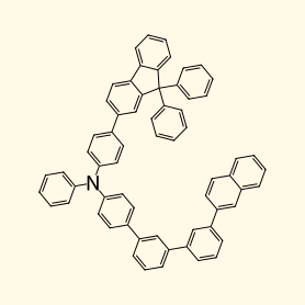 c1ccc(N(c2ccc(-c3cccc(-c4cccc(-c5ccc6ccccc6c5)c4)c3)cc2)c2ccc(-c3ccc4c(c3)C(c3ccccc3)(c3ccccc3)c3ccccc3-4)cc2)cc1